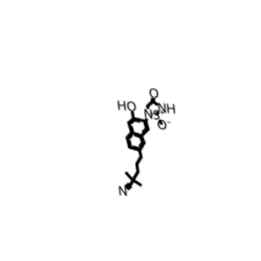 CC(C)(C#N)CCCc1ccc2cc(O)c(N3CC(=O)N[S+]3[O-])cc2c1